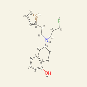 Oc1cccc2c1CCC(N(CCCF)CCc1cccs1)C2